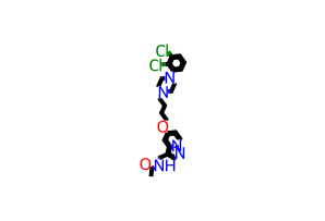 CC(=O)NCc1cnn2ccc(OCCCCN3CCN(c4cccc(Cl)c4Cl)CC3)cc12